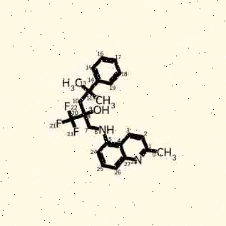 Cc1ccc2c(NCC(O)(CC(C)(C)c3ccccc3)C(F)(F)F)cccc2n1